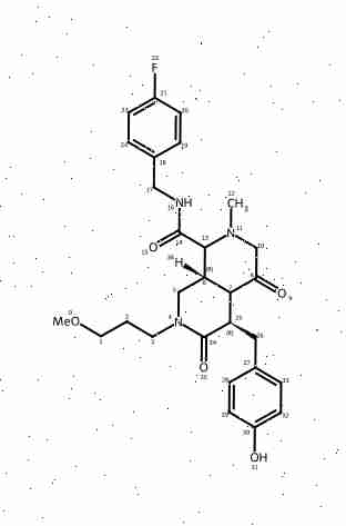 COCCCN1C[C@H]2C(C(=O)CN(C)C2C(=O)NCc2ccc(F)cc2)[C@@H](Cc2ccc(O)cc2)C1=O